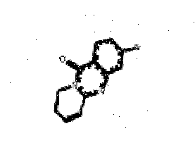 O=c1c2ccc(Br)cc2nc2n1CCC=C2